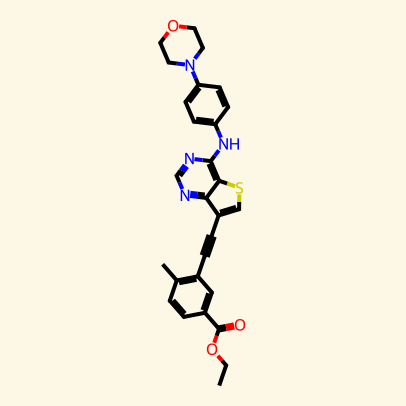 CCOC(=O)c1ccc(C)c(C#Cc2csc3c(Nc4ccc(N5CCOCC5)cc4)ncnc23)c1